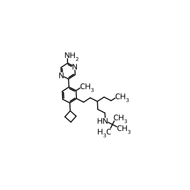 CCCC(CCNC(C)(C)C)CCc1c(C2CCC2)ccc(-c2cnc(N)cn2)c1C